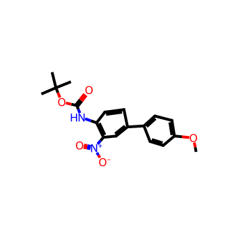 COc1ccc(-c2ccc(NC(=O)OC(C)(C)C)c([N+](=O)[O-])c2)cc1